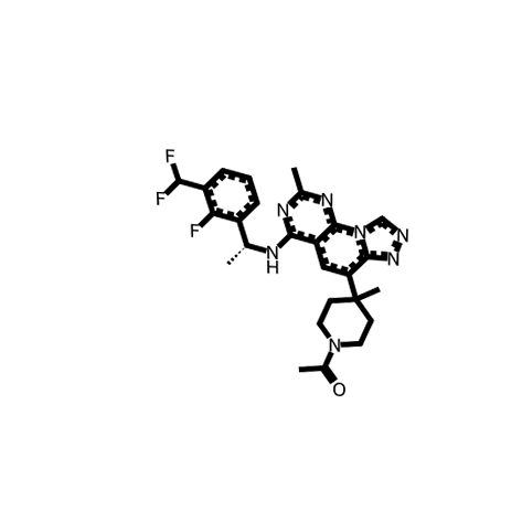 CC(=O)N1CCC(C)(c2cc3c(N[C@H](C)c4cccc(C(F)F)c4F)nc(C)nc3n3cnnc23)CC1